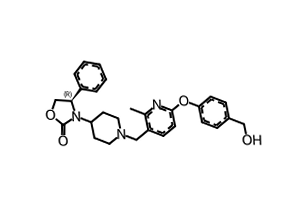 Cc1nc(Oc2ccc(CO)cc2)ccc1CN1CCC(N2C(=O)OC[C@H]2c2ccccc2)CC1